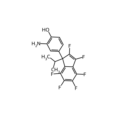 CC(C)C1(c2ccc(O)c(N)c2)C(F)=C(F)c2c(F)c(F)c(F)c(F)c21